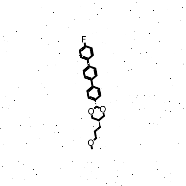 COCCC[C@H]1CO[C@H](c2ccc(-c3ccc(-c4ccc(F)cc4)cc3)cc2)OC1